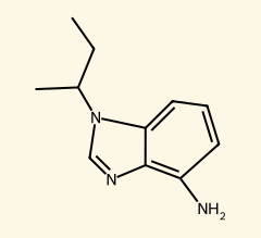 CCC(C)n1cnc2c(N)cccc21